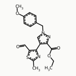 CCOC(=O)c1nn(Cc2ccc(OC)cc2)cc1-c1nc(C)sc1C=O